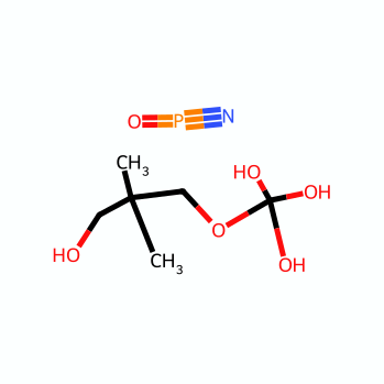 CC(C)(CO)COC(O)(O)O.N#P=O